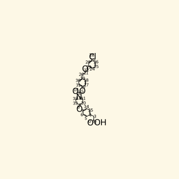 O=C(O)Cc1ccc(OC2CCN(C(=O)Oc3ccc(CCOc4cccc(Cl)c4)cc3)CC2)cc1